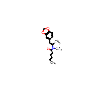 CCCCCC(=O)N(C)C(C)Cc1ccc2c(c1)OCO2